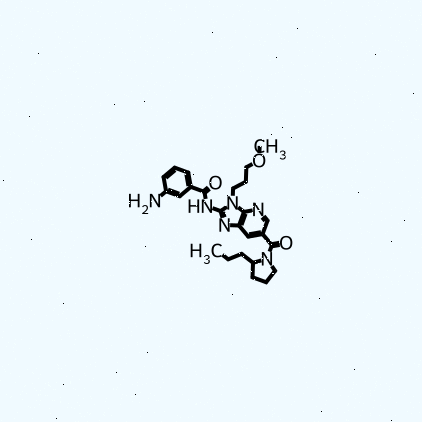 CCCC1CCCN1C(=O)c1cnc2c(c1)nc(NC(=O)c1cccc(N)c1)n2CCCOC